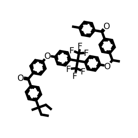 CCC(C)(CC)c1ccc(C(=O)c2ccc(Oc3ccc(C(c4ccc(OC(C)c5ccc(C(=O)c6ccc(C)cc6)cc5)cc4)(C(F)(F)F)C(F)(F)F)cc3)cc2)cc1